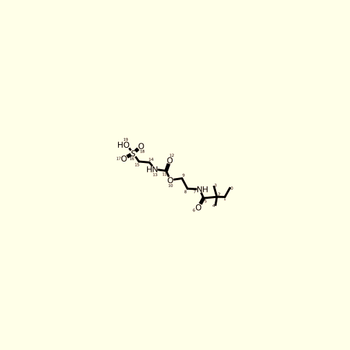 CCC(C)(C)C(=O)NCCOC(=O)NCCS(=O)(=O)O